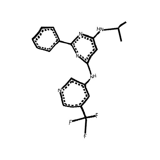 CC(C)Nc1cc(Nc2cncc(C(F)(F)F)c2)nc(-c2ccccc2)n1